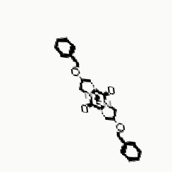 O=C1N2C[C@H](OCc3ccccc3)C[C@]23SS[C@]12C[C@@H](OCc1ccccc1)CN2C3=O